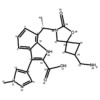 C[C@@H](c1cccc2c(-c3cnn(C)c3)c(C(=O)O)[nH]c12)N1CC2(CC(CN)C2)OC1=O